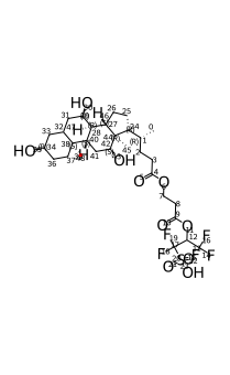 C[C@H](CCC(=O)OCCC(=O)OC(C(F)(F)F)C(F)(F)S(=O)(=O)O)[C@H]1CC[C@H]2[C@@H]3[C@H](O)CC4C[C@H](O)CC[C@]4(C)[C@H]3C[C@H](O)[C@]12C